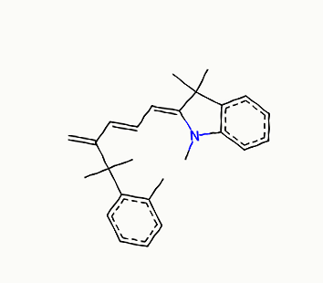 C=C(/C=C/C=C1\N(C)c2ccccc2C1(C)C)C(C)(C)c1ccccc1C